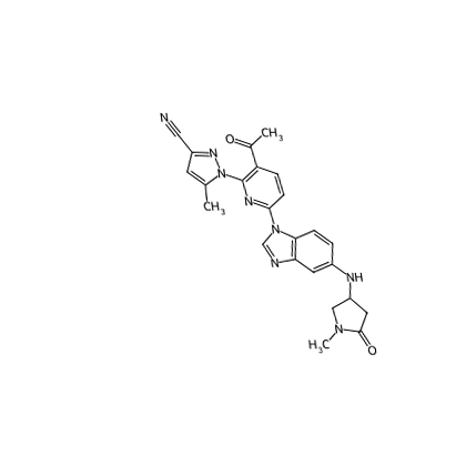 CC(=O)c1ccc(-n2cnc3cc(NC4CC(=O)N(C)C4)ccc32)nc1-n1nc(C#N)cc1C